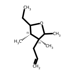 C=CC[C@]1(C)C(C)OC(CC)[C@H]1C